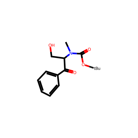 CN(C(=O)OC(C)(C)C)C(CO)C(=O)c1ccccc1